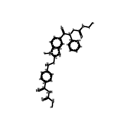 CCOC(=O)CN(C(=O)c1ccc2c(c1)nc(CNc1ccc(C(=N)NC(=O)OC)cc1)n2C)c1ccccn1